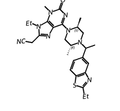 CCc1nc2cc(C(C)N3C[C@H](C)N(c4nc(=O)n(C)c5c4nc(CC#N)n5CC)C[C@H]3C)ccc2s1